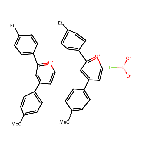 CCc1ccc(-c2cc(-c3ccc(OC)cc3)cc[o+]2)cc1.CCc1ccc(-c2cc(-c3ccc(OC)cc3)cc[o+]2)cc1.[O-]B([O-])F